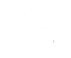 Fc1cc(F)c(I)c(Br)c1